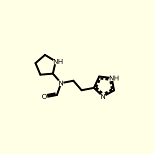 O=CN(CCc1c[nH]cn1)C1CCCN1